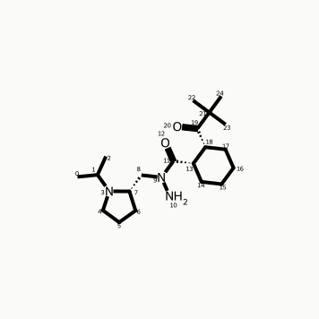 CC(C)N1CCC[C@H]1CN(N)C(=O)[C@H]1CCCC[C@H]1C(=O)C(C)(C)C